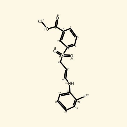 O=C(OCl)c1cccc(S(=O)(=O)CC=CNc2ccccc2F)c1